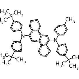 Cc1ccc(N(c2ccc(C(C)(C)C)cc2)c2cc3c4ccccc4c(N(c4ccc(C(C)(C)C)cc4)c4ccc([Si](C)(C)C)cc4)cc3c3ccccc23)cc1